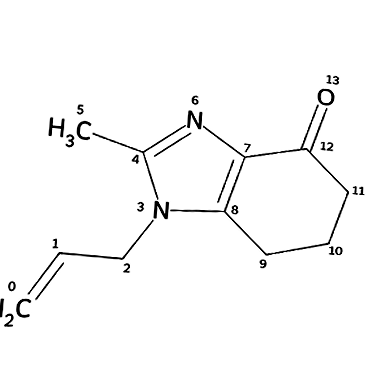 C=CCn1c(C)nc2c1CCCC2=O